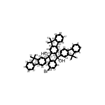 CC1(C)c2ccccc2-c2ccc(C3(O)c4ccc(Br)cc4C(O)(c4ccc5c(c4)C(C)(C)c4ccccc4-5)c4cc5c(cc43)-c3ccccc3C5(C)C)cc21